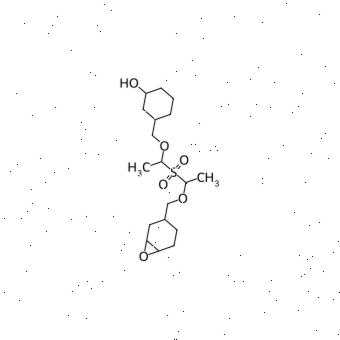 CC(OCC1CCCC(O)C1)S(=O)(=O)C(C)OCC1CCC2OC2C1